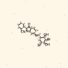 N#Cc1ccccc1-c1nc2cc(/N=C/c3cc(Br)c(O)c(Br)c3O)ccc2[nH]1